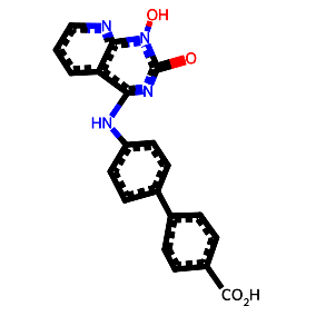 O=C(O)c1ccc(-c2ccc(Nc3nc(=O)n(O)c4ncccc34)cc2)cc1